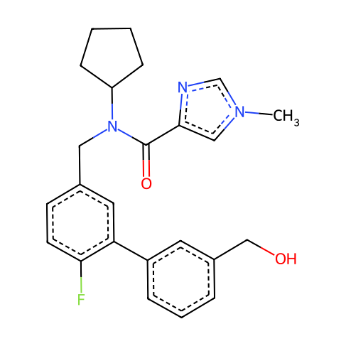 Cn1cnc(C(=O)N(Cc2ccc(F)c(-c3cccc(CO)c3)c2)C2CCCC2)c1